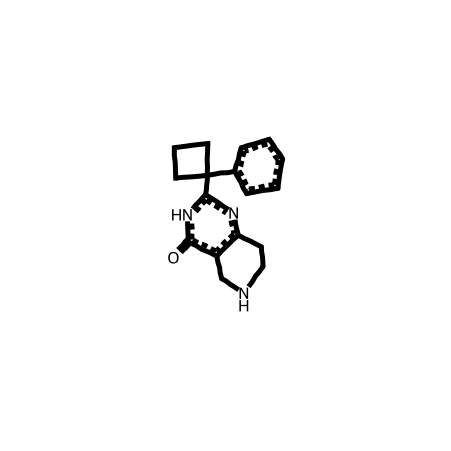 O=c1[nH]c(C2(c3ccccc3)CCC2)nc2c1CNCC2